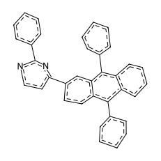 c1ccc(-c2nccc(-c3ccc4c(-c5ccccc5)c5ccccc5c(-c5ccccc5)c4c3)n2)cc1